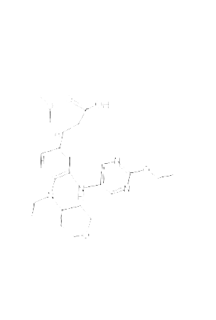 CCOc1ncc(Nc2cc([C@H](COC)CC(=O)O)ccc2N(CC)C2CCOCC2)cn1